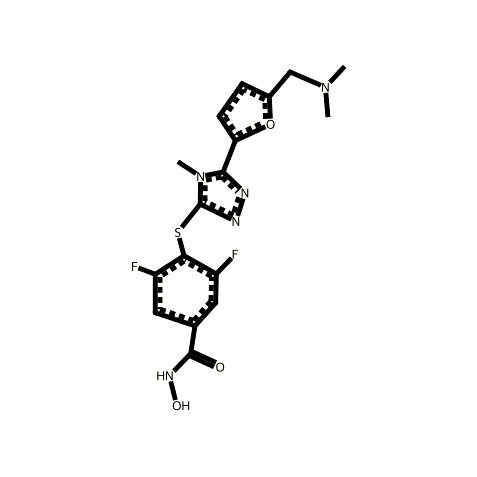 CN(C)Cc1ccc(-c2nnc(Sc3c(F)cc(C(=O)NO)cc3F)n2C)o1